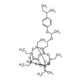 CCC(C)c1ccc(OC(C)OCCC[Si]23O[Si]4(CC)O[Si]5(CC)O[Si]6(CC)O[Si](CC)(O4)O[Si](CC)(O[Si](CC)(O6)O[Si](CC)(O5)O2)O3)cc1